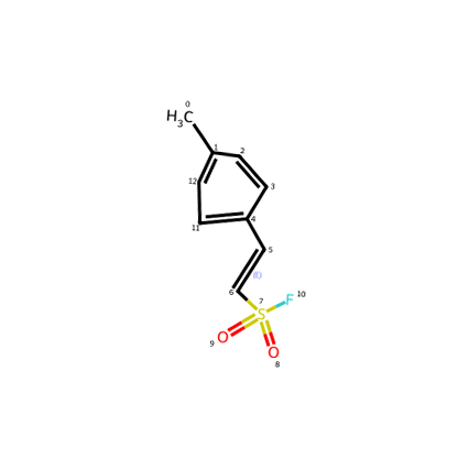 Cc1ccc(/C=C/S(=O)(=O)F)cc1